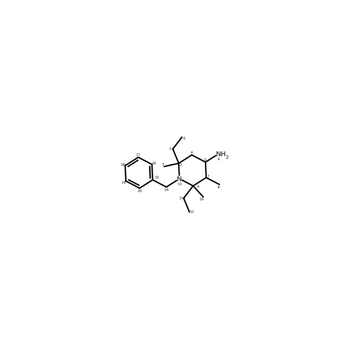 CCC1(C)CC(N)C(C)C(C)(CC)N1Cc1ccccc1